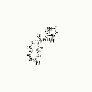 O=C(NC1CN2CC[C@H]1C2)c1ccc2ccc(Cl)cc2c1